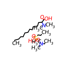 CCCCCCCCCCCCC(C(=O)O)N(C)C.CCCS(=O)(=O)O.CCN(C)C